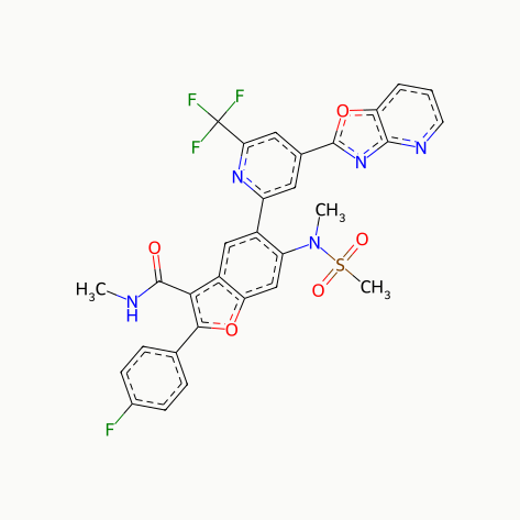 CNC(=O)c1c(-c2ccc(F)cc2)oc2cc(N(C)S(C)(=O)=O)c(-c3cc(-c4nc5ncccc5o4)cc(C(F)(F)F)n3)cc12